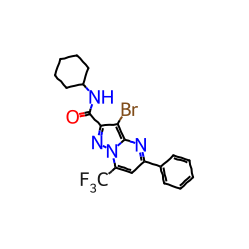 O=C(NC1CCCCC1)c1nn2c(C(F)(F)F)cc(-c3ccccc3)nc2c1Br